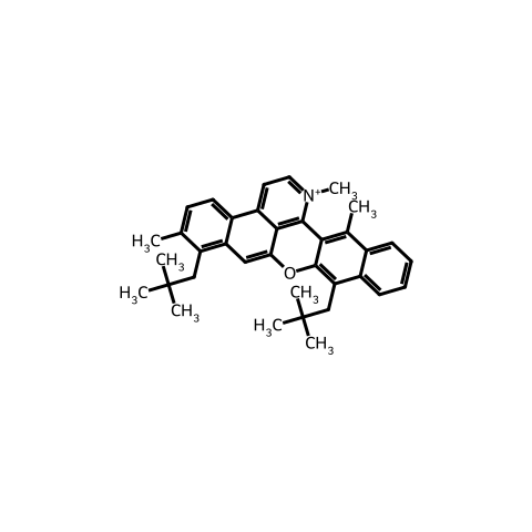 Cc1ccc2c(cc3c4c([n+](C)ccc42)-c2c(c(CC(C)(C)C)c4ccccc4c2C)O3)c1CC(C)(C)C